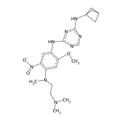 COc1cc(N(C)CCN(C)C)c([N+](=O)[O-])cc1Nc1ncnc(NC23CC(C2)C3)n1